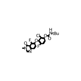 Cn1cnc2ccc(Oc3c(F)ccc(OC(=O)NC(C)(C)C)c3Cl)c(F)c2c1=O